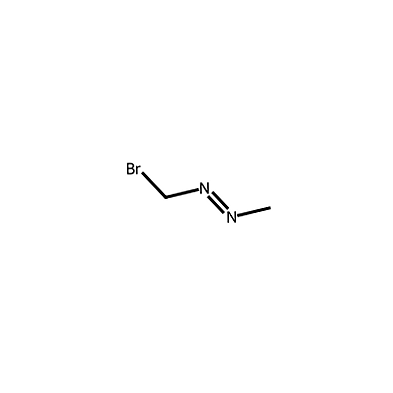 CN=NCBr